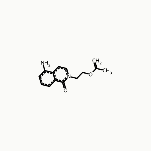 C=C(C)OCCn1ccc2c(N)cccc2c1=O